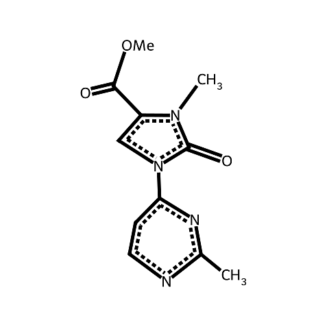 COC(=O)c1cn(-c2ccnc(C)n2)c(=O)n1C